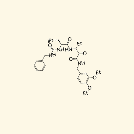 CCOc1ccc(CNC(=O)C(=O)C(CC)NC(=O)[C@H](CC(C)C)NC(=O)NCc2ccccc2)cc1OCC